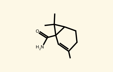 CC1=CC2(C(N)=O)C(CC1)C2(C)C